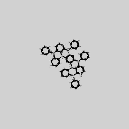 c1ccc(N2c3cc4c(cc3B3c5ccccc5N(c5ccccc5)c5nccc2c53)B2c3ccccc3N(c3ccccc3)c3ccnc(c32)N4c2ccccc2)cc1